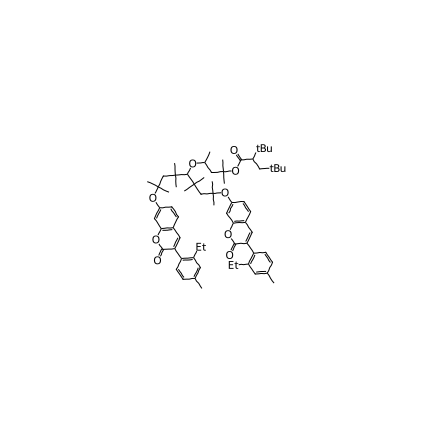 CCc1cc(C)ccc1-c1cc2ccc(OC(C)(C)CC(C)(C)C(OC(C)CC(C)(C)OC(=O)C(CC(C)(C)C)C(C)(C)C)C(C)(C)CC(C)(C)Oc3ccc4cc(-c5ccc(C)cc5CC)c(=O)oc4c3)cc2oc1=O